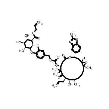 C=CCOC(=O)[C@H]1O[C@@H](Oc2ccc(COC(=O)O[C@H]3CC(=O)O[C@H](c4ccc5sc(C)nc5c4)C[C@@H]4O[C@]4(C)CCC[C@H](C)[C@H](O)[C@@H](CC=C)C(=O)C3(C)C)cc2Cl)[C@H](O)[C@@H](O)[C@@H]1O